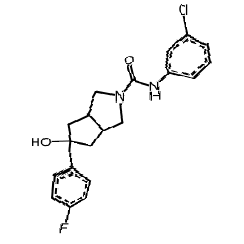 O=C(Nc1cccc(Cl)c1)N1CC2CC(O)(c3ccc(F)cc3)CC2C1